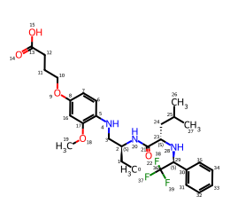 CC[C@@H](CNc1ccc(OCCCC(=O)O)cc1OC)NC(=O)[C@H](CC(C)C)N[C@@H](c1ccccc1)C(F)(F)F